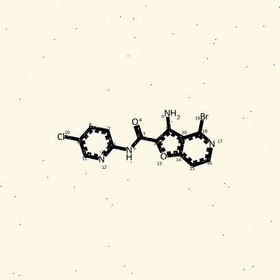 Nc1c(C(=O)Nc2ccc(Cl)cn2)oc2ccnc(Br)c12